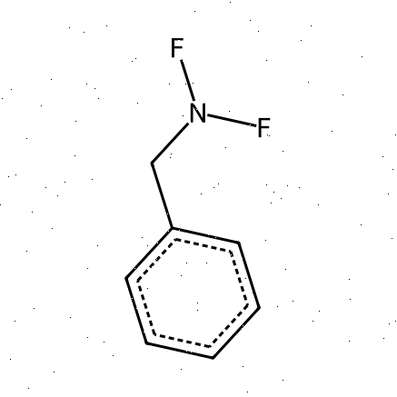 FN(F)Cc1ccccc1